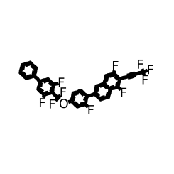 Fc1cc(OC(F)(F)c2c(F)cc(-c3ccccc3)cc2F)ccc1-c1ccc2c(F)c(C#CC(F)(F)F)c(F)cc2c1